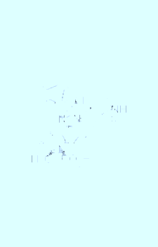 CC(c1ccccc1)c1nc2c3c(ccc2n1C1CC2CNCC2C1)N(C(=O)O)[C@@H](C)CC3